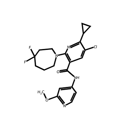 COc1cc(NC(=O)c2cc(Cl)c(C3CC3)nc2N2CCCC(F)(F)CC2)ccn1